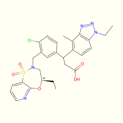 CC[C@@H]1CN(Cc2cc(C(CC(=O)O)c3ccc4c(nnn4CC)c3C)ccc2Cl)S(=O)(=O)c2cccnc2O1